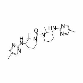 Cc1cnc(NC2CCCN(C(=O)N3CCCC(Nc4ncc(C)cn4)C3C)C2C)nc1